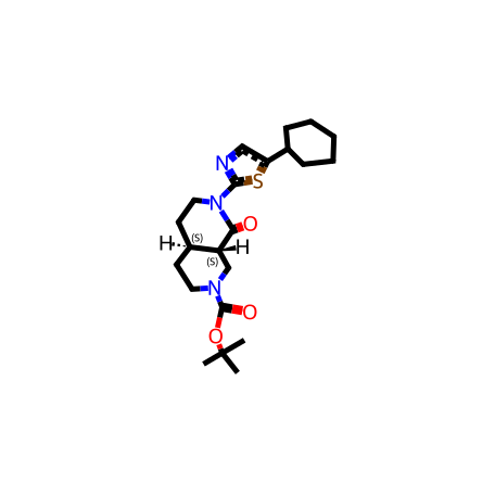 CC(C)(C)OC(=O)N1CC[C@H]2CCN(c3ncc(C4CCCCC4)s3)C(=O)[C@@H]2C1